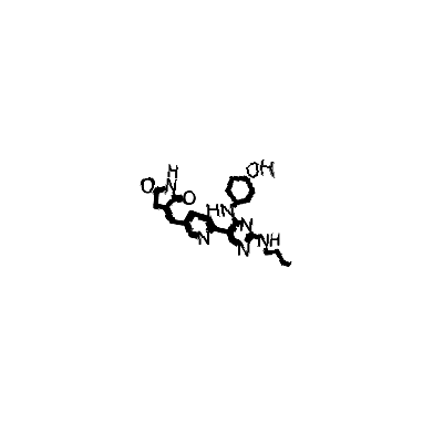 CCCCNc1ncc(-c2ccc(C=C3CC(=O)NC3=O)cn2)c(NC2CCC(O)CC2)n1